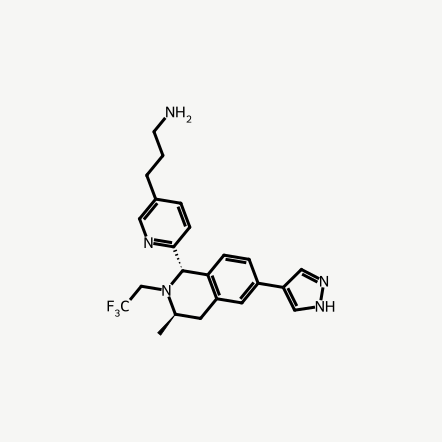 C[C@@H]1Cc2cc(-c3cn[nH]c3)ccc2[C@@H](c2ccc(CCCN)cn2)N1CC(F)(F)F